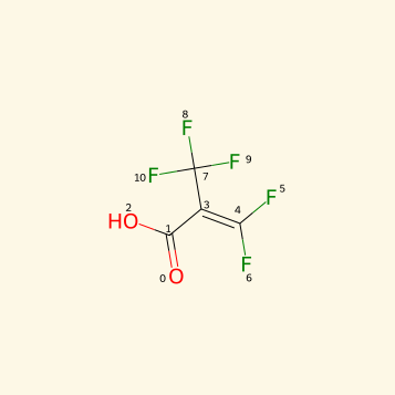 O=C(O)C(=C(F)F)C(F)(F)F